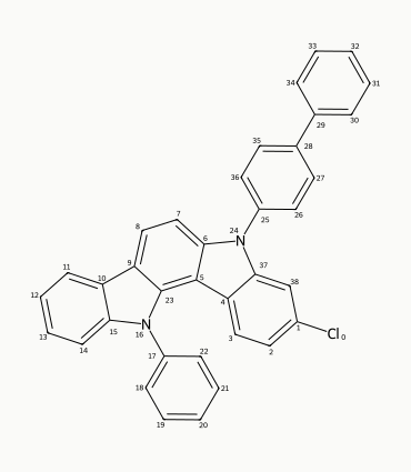 Clc1ccc2c3c(ccc4c5ccccc5n(-c5ccccc5)c43)n(-c3ccc(-c4ccccc4)cc3)c2c1